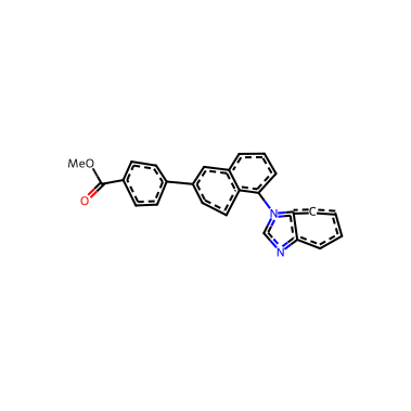 COC(=O)c1ccc(-c2ccc3c(-n4cnc5ccccc54)cccc3c2)cc1